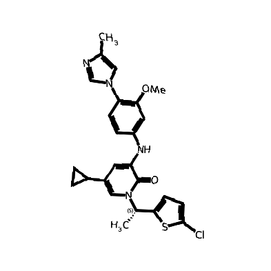 COc1cc(Nc2cc(C3CC3)cn([C@@H](C)c3ccc(Cl)s3)c2=O)ccc1-n1cnc(C)c1